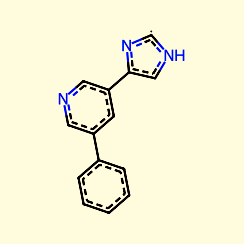 [c]1nc(-c2cncc(-c3ccccc3)c2)c[nH]1